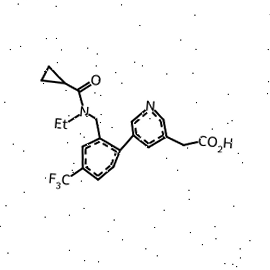 CCN(Cc1cc(C(F)(F)F)ccc1-c1cncc(CC(=O)O)c1)C(=O)C1CC1